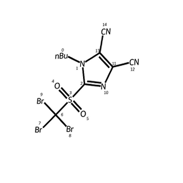 CCCCn1c(S(=O)(=O)C(Br)(Br)Br)nc(C#N)c1C#N